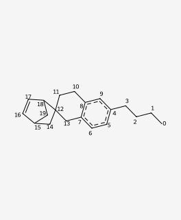 CCCCc1ccc2c(c1)CCC1(C2)CC2C=CC1C2